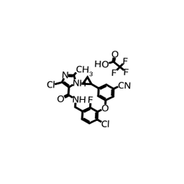 Cc1nc(Cl)c(C(=O)NCc2ccc(Cl)c(Oc3cc(C#N)cc(C4CC4)c3)c2F)[nH]1.O=C(O)C(F)(F)F